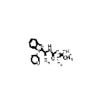 CC(NC(=O)OC(C)(C)C)c1nc2ccccc2n1[C@H]1CCCOC1